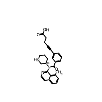 Cc1cccc2ccnc(N(C(=O)c3cccc(C#CCCC(=O)O)c3)[C@@H]3CCCNC3)c12